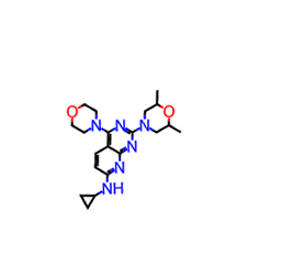 CC1CN(c2nc(N3CCOCC3)c3ccc(NC4CC4)nc3n2)CC(C)O1